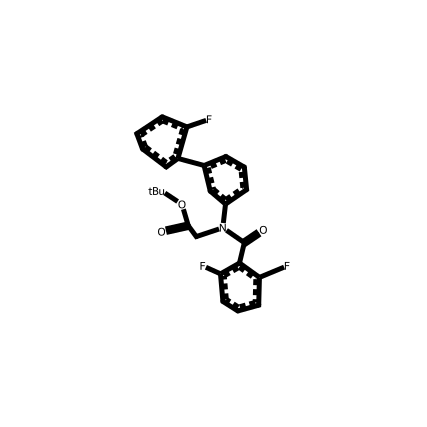 CC(C)(C)OC(=O)CN(C(=O)c1c(F)cccc1F)c1cccc(-c2ccccc2F)c1